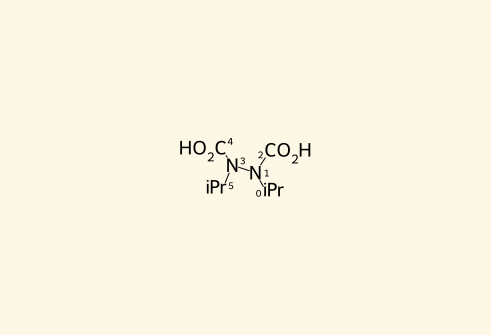 CC(C)N(C(=O)O)N(C(=O)O)C(C)C